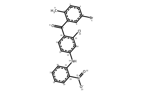 Cc1ccc(Br)cc1C(=O)c1ccc(Nc2ccccc2[N+](=O)[O-])cc1Cl